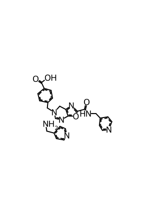 NCc1ccncc1.O=C(O)c1ccc(CN2C=Nc3oc(C(=O)NCc4ccncc4)nc3C2)cc1